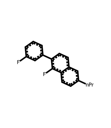 CCCc1ccc2c(F)c(-c3cccc(F)c3)ccc2c1